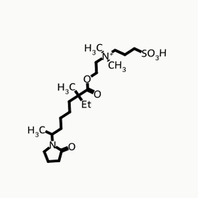 CCC(C)(CCCCC(C)N1CCCC1=O)C(=O)OCC[N+](C)(C)CCCS(=O)(=O)O